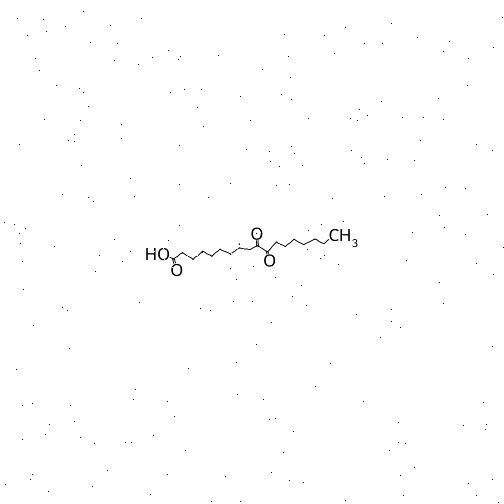 CCCCCCCC(=O)C(=O)C[CH]CCCCCCC(=O)O